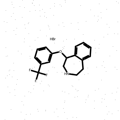 Br.FC(F)(F)c1cccc(OC2CNCCc3ccccc32)c1